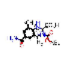 Cc1cc(C(N)=O)cc(C)c1N[C@H](NC(=O)OC(C)(C)C)C(=O)O